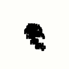 CN(C)CCNC(=O)c1cccc(-c2cc(N(C)C)c3c(c2O)C(=O)C2=C(O)[C@]4(N=O)C(=O)C(C(N)=O)=C(O)[C@@H](N(C)C)[C@@H]4C[C@@H]2C3)c1